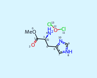 COC(=O)[C@@H](N)Cc1c[nH]cn1.ClOCl